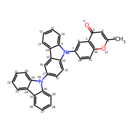 Cc1cc(=O)c2cc(-n3c4ccccc4c4cc(-n5c6ccccc6c6ccccc65)ccc43)ccc2o1